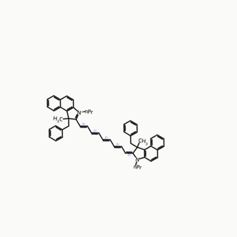 CCCN1/C(=C/C=C/C=C/C=C/C=C/C2=[N+](CCC)c3ccc4ccccc4c3C2(C)Cc2ccccc2)C(C)(Cc2ccccc2)c2c1ccc1ccccc21